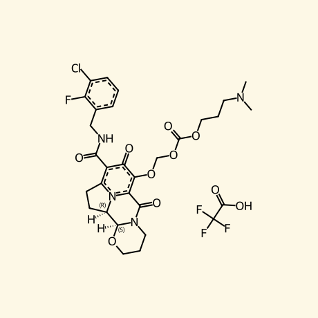 CN(C)CCCOC(=O)OCOc1c2n3c(c(C(=O)NCc4cccc(Cl)c4F)c1=O)CC[C@@H]3[C@@H]1OCCCN1C2=O.O=C(O)C(F)(F)F